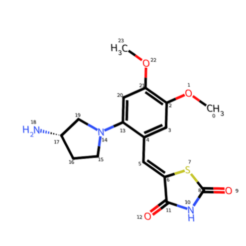 COc1cc(/C=C2\SC(=O)NC2=O)c(N2CC[C@H](N)C2)cc1OC